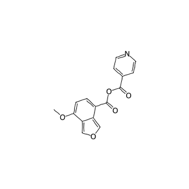 COc1ccc(C(=O)OC(=O)c2ccncc2)c2cocc12